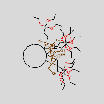 CCO[Si](CCS(S)(SS)C1CCCCCCCCCC(S(S)(CC[Si](OCC)(OCC)OCC)SS)(S(S)(CC[Si](OCC)(OCC)OCC)SS)C1(S(S)(CC[Si](OCC)(OCC)OCC)SS)S(S)(CC[Si](OCC)(OCC)OCC)SS)(OCC)OCC